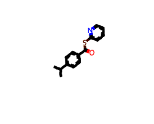 CC(C)c1ccc(C(=O)Sc2ccccn2)cc1